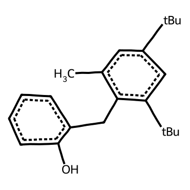 Cc1cc(C(C)(C)C)cc(C(C)(C)C)c1Cc1ccccc1O